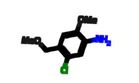 COCc1cc(OC)c(N)cc1Cl